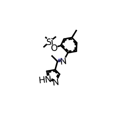 C/C(=N\c1ccc(C)cc1O[Si](C)(C)C)c1cn[nH]c1